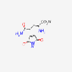 NC(=O)CCC(N)C(=O)O.O=C1C=CC(=O)N1